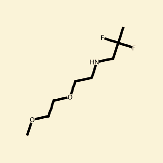 COCCOCCNCC(C)(F)F